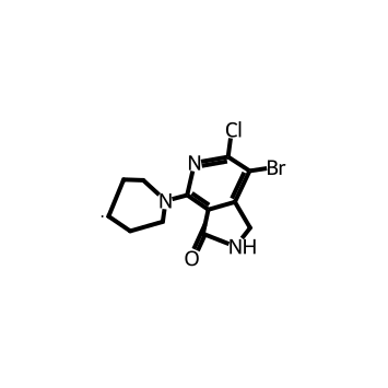 O=C1NCc2c(Br)c(Cl)nc(N3CC[CH]CC3)c21